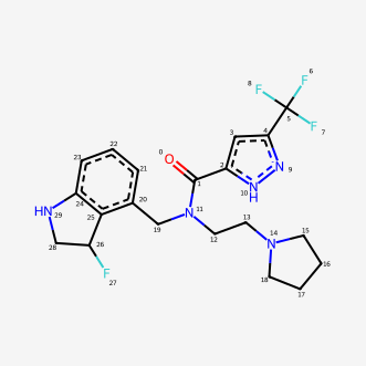 O=C(c1cc(C(F)(F)F)n[nH]1)N(CCN1CCCC1)Cc1cccc2c1C(F)CN2